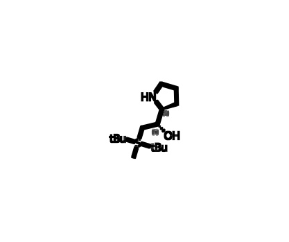 CC(C)(C)S(C)(C[C@@H](O)[C@@H]1CCCN1)C(C)(C)C